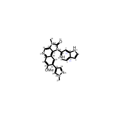 C/C=c1/cc[nH]/c1=C/C(=N)n1c(=O)n(C)c2cnc3cc(OC)c(-c4cnn(C)c4)cc3c21